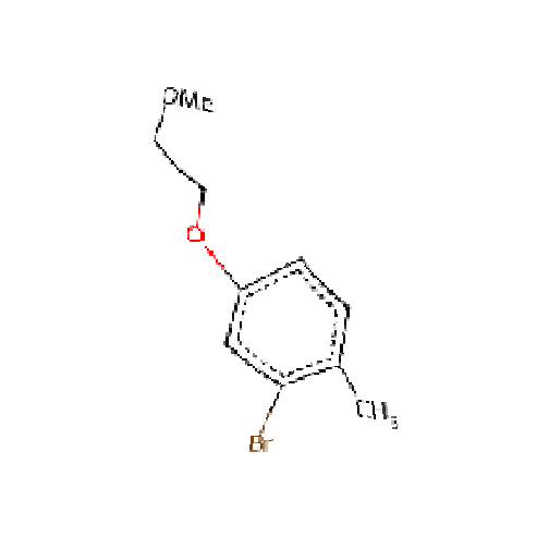 COCCOc1ccc(C)c(Br)c1